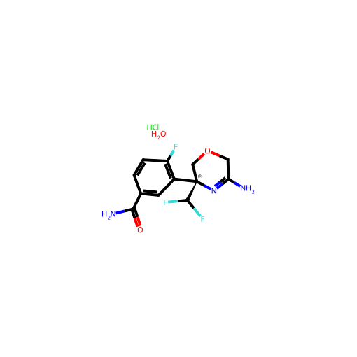 Cl.NC(=O)c1ccc(F)c([C@]2(C(F)F)COCC(N)=N2)c1.O